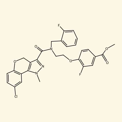 COC(=O)c1ccc(OCCN(Cc2ccccc2F)C(=O)c2nn(C)c3c2COc2ccc(Cl)cc2-3)c(F)c1